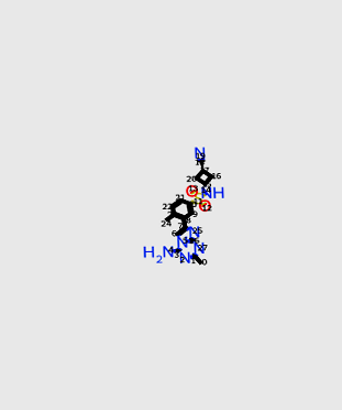 Cc1nc(N)n2cc(-c3cc(S(=O)(=O)N[C@H]4C[C@H](C#N)C4)ccc3C)nc2n1